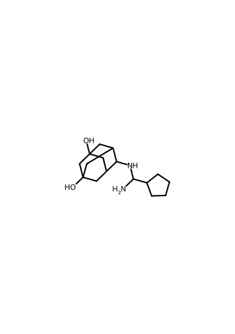 NC(NC1C2CC3(O)CC1CC(O)(C2)C3)C1CCCC1